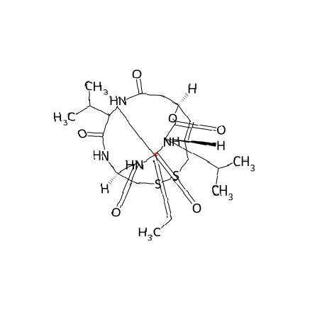 C/C=C1\NC(=O)[C@H]2CSSC/C=C/[C@H](CC(=O)NC(C(C)C)C(=O)N2)OC(=O)[C@H](C(C)C)NC1=O